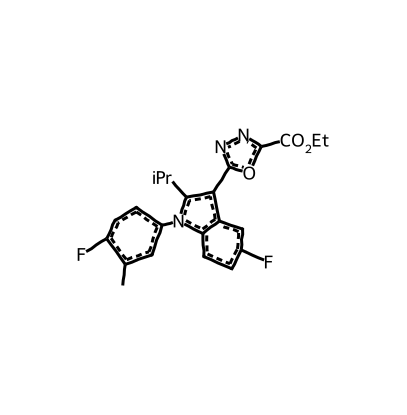 CCOC(=O)c1nnc(-c2c(C(C)C)n(-c3ccc(F)c(C)c3)c3ccc(F)cc23)o1